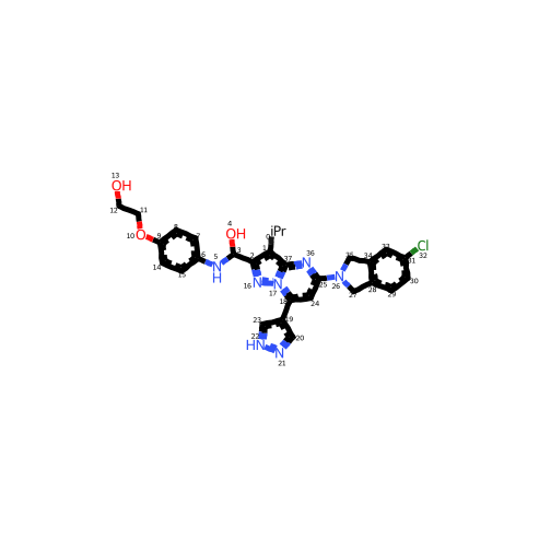 CC(C)c1c(C(O)Nc2ccc(OCCO)cc2)nn2c(-c3cn[nH]c3)cc(N3Cc4ccc(Cl)cc4C3)nc12